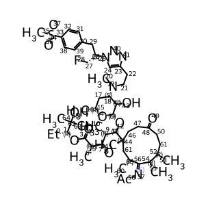 CC[C@@H](OC(=O)[C@H](C)C(=O)[C@H](C)[C@@H](O[C@@H]1O[C@H](C)C[C@H](N(C)CCc2cn([C@H](CF)Cc3ccc(S(C)(=O)=O)cc3)nn2)[C@H]1O)[C@]1(C)CCC(=O)CC[C@@H](C)[C@@H](C)/C(=N/C(C)=O)[C@H](C)C1)C(C)(C)O